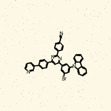 N#Cc1ccc(-c2nc(-c3ccc(-c4cccnc4)cc3)cc(-c3cc(Br)cc(-n4c5ccccc5c5ccccc54)c3)n2)cc1